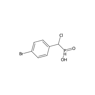 O=[PH](O)C(Cl)c1ccc(Br)cc1